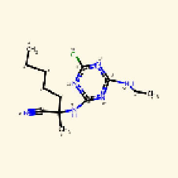 CCCCCC(C)(C#N)Nc1nc(Cl)nc(NCC)n1